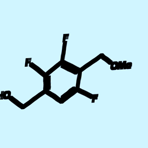 COCc1c(F)cc(CO)c(F)c1F